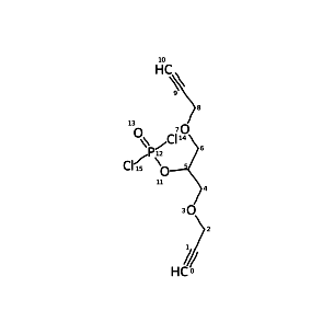 C#CCOCC(COCC#C)OP(=O)(Cl)Cl